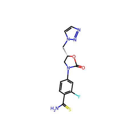 NC(=S)c1ccc(N2C[C@H](Cn3ccnn3)OC2=O)cc1F